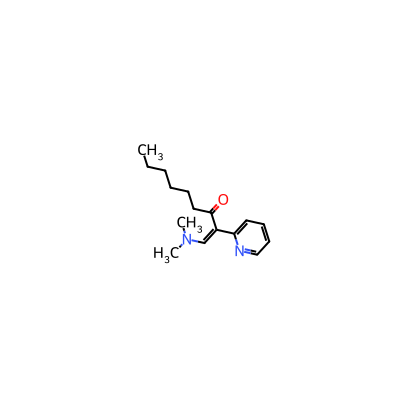 CCCCCCC(=O)/C(=C\N(C)C)c1ccccn1